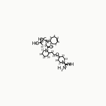 CN(C1CCC=CCC1)[C@@H](CC(=O)O)C(=O)N1CCCCC1CCOC1CCN(C(=N)N)CC1